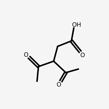 CC(=O)C(CC(=O)O)C(C)=O